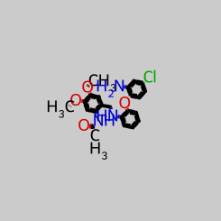 COc1cc(CNc2ccccc2Oc2ccc(Cl)cc2N)c(NC(C)=O)cc1OC